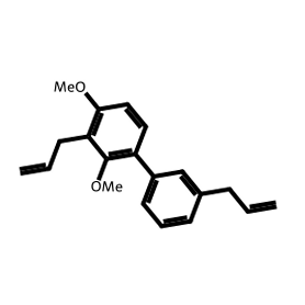 C=CCc1cccc(-c2ccc(OC)c(CC=C)c2OC)c1